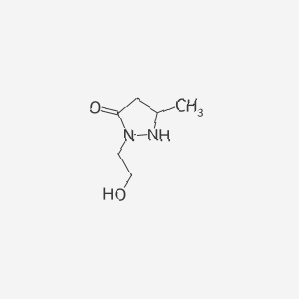 CC1CC(=O)N(CCO)N1